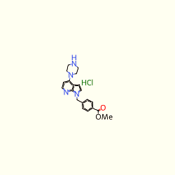 COC(=O)c1ccc(Cn2ccc3c(N4CCNCC4)ccnc32)cc1.Cl